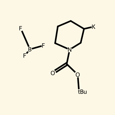 CC(C)(C)OC(=O)N1CCC[CH]([K])C1.FB(F)F